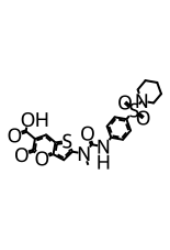 CN(C(=O)Nc1ccc(S(=O)(=O)N2CCCCC2)cc1)c1cc2oc(=O)c(C(=O)O)cc2s1